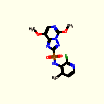 COc1cnc(OC)n2nc(S(=O)(=O)Nc3c(C)ccnc3F)nc12